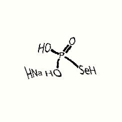 O=P(O)(O)[SeH].[NaH]